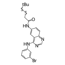 CC(C)(C)SSCC(=O)Nc1ccc2ncnc(Nc3cccc(Br)c3)c2c1